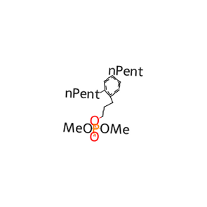 CCCCCc1ccc(CCCOP(=O)(OC)OC)c(CCCCC)c1